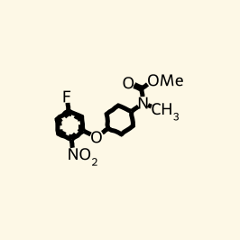 COC(=O)N(C)C1CCC(Oc2cc(F)ccc2[N+](=O)[O-])CC1